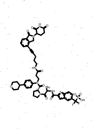 CC(C)(C)C(NC(=O)c1cc2cc(C(F)(F)P(=O)(O)O)ccc2s1)C(=O)N1CCC[C@H]1C(=O)N(CCC(=O)NCCCC#Cc1cccc2c1CN(C1CCC(=O)NC1=O)C2=O)c1ccc(C2CCOCC2)cc1